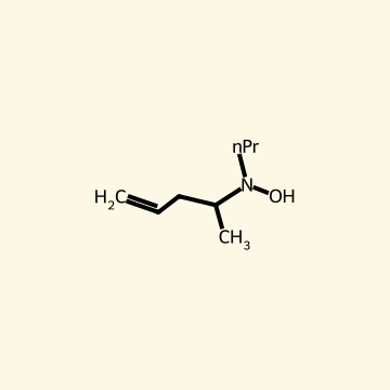 C=CCC(C)N(O)CCC